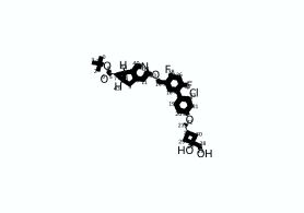 CC(C)(C)OC(=O)[C@H]1[C@@H]2Cc3cc(OCc4cc(-c5ccc(OC[C@H]6C[C@@](O)(CO)C6)cc5Cl)c(F)cc4F)ncc3[C@@H]21